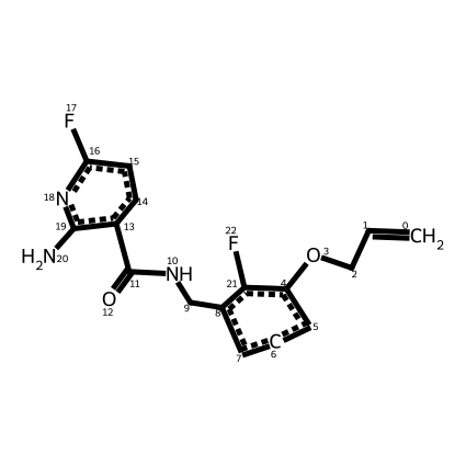 C=CCOc1cccc(CNC(=O)c2ccc(F)nc2N)c1F